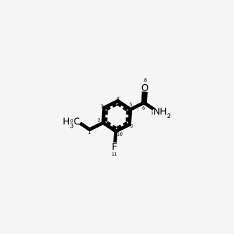 CCc1ccc(C(N)=O)cc1F